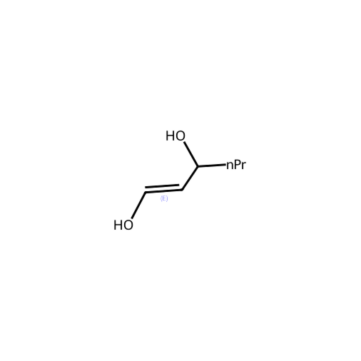 CCCC(O)/C=C/O